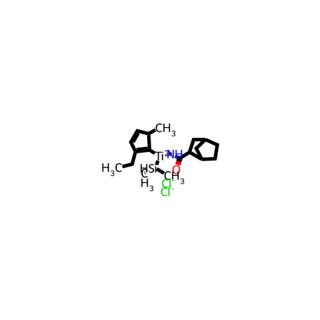 CCC1=[C]([Ti+2]([NH]C(=O)C2CC3CCC2C3)[SiH](C)C)C(C)C=C1.[Cl-].[Cl-]